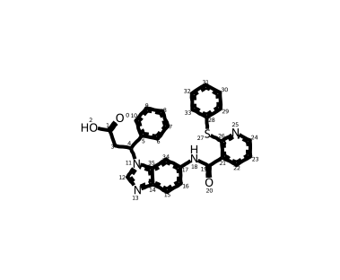 O=C(O)CC(c1ccccc1)n1cnc2ccc(NC(=O)c3cccnc3Sc3ccccc3)cc21